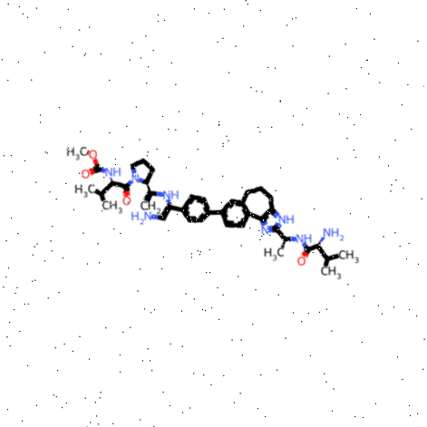 C=C(N/C(=C\N)c1ccc(-c2ccc3c(c2)CCCc2[nH]c([C@H](C)NC(=O)[C@@H](N)C(C)C)nc2-3)cc1)[C@@H]1CCCN1C(=O)[C@@H](NC(=O)OC)C(C)C